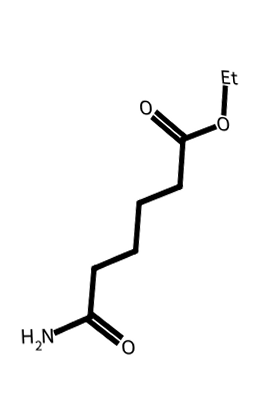 CCOC(=O)CCCCC(N)=O